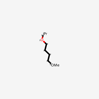 COCCCCOC(C)C